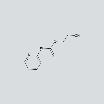 O=C(Nc1ccccn1)OCCO